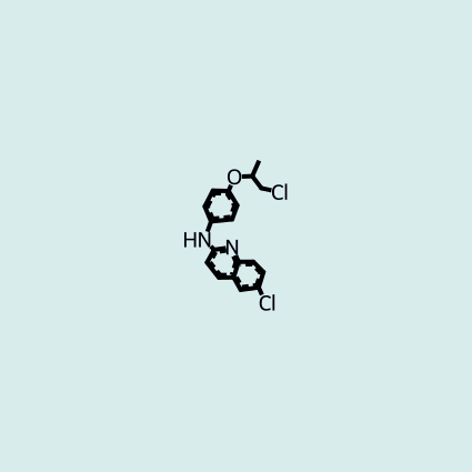 CC(CCl)Oc1ccc(Nc2ccc3cc(Cl)ccc3n2)cc1